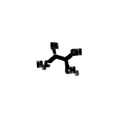 CC[C@@H](C)[C@H](C)O